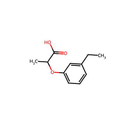 C[CH]c1cccc(OC(C)C(=O)O)c1